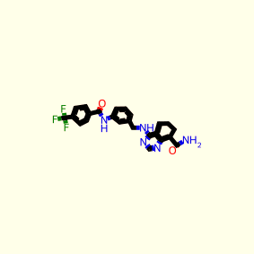 NC(=O)C1=c2ncnc(NCc3cccc(NC(=O)c4ccc(C(F)(F)F)cc4)c3)c2=CCC1